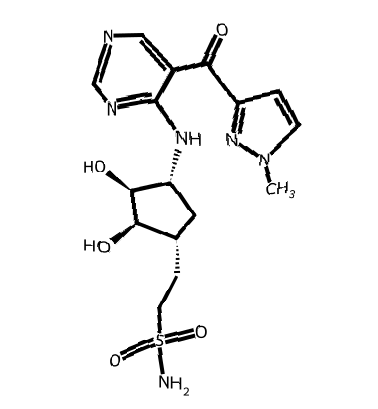 Cn1ccc(C(=O)c2cncnc2N[C@@H]2C[C@H](CCS(N)(=O)=O)[C@@H](O)[C@H]2O)n1